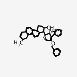 CC1C=Cc2ccc3c4c(ccc3c2C1)C(C1N=CC(OCc2ccccc2)=C2C1=Nc1c[c]ccc12)C(C)CC4